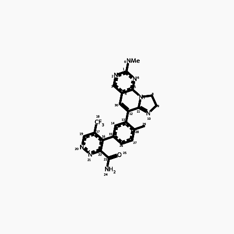 CNc1ncc2c(n1)N1CCN=C1C(c1cc(-c3c(C(F)(F)F)cnnc3C(N)=O)ccc1C)=C2